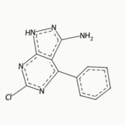 Nc1n[nH]c2nc(Cl)nc(-c3ccccc3)c12